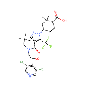 CC(C)(C)CN(CC(=O)c1c(Cl)cncc1Cl)C(=O)c1cnn(C2CCC(C(=O)O)C(C)(C)C2)c1C(F)(F)F